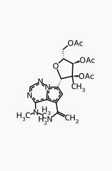 C=C(N)c1cc([C@@H]2O[C@H](COC(C)=O)[C@@H](OC(C)=O)[C@@]2(C)OC(C)=O)n2ncnc(N(C)C)c12